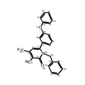 N#Cc1c(C(F)(F)F)cc(-c2cccc(Oc3ccccc3)c2)n(Cc2ccccc2)c1=O